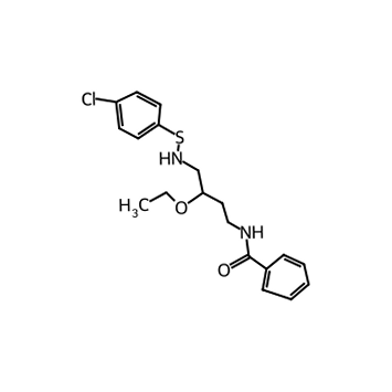 CCOC(CCNC(=O)c1ccccc1)CNSc1ccc(Cl)cc1